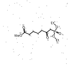 CCOP(=O)(CC(=O)CCCCC(=O)OC)OCC